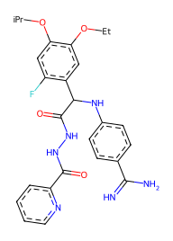 CCOc1cc(C(Nc2ccc(C(=N)N)cc2)C(=O)NNC(=O)c2ccccn2)c(F)cc1OC(C)C